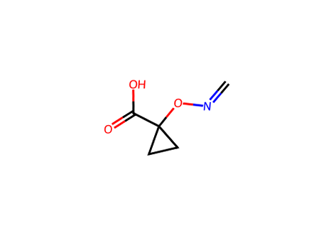 C=NOC1(C(=O)O)CC1